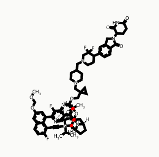 COCOc1cc(-c2ncc3c(N4C[C@H]5CC[C@@H](C4)N5C(=O)OC(C)(C)C)nc(OCC4(CN5CCC(CN6CCC(c7ccc8c(c7)CN(C7CCC(=O)NC7=O)C8=O)C(F)(F)C6)CC5)CC4)nc3c2F)c2c(C#C[Si](C(C)C)(C(C)C)C(C)C)c(F)ccc2c1